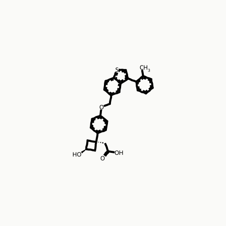 Cc1ccccc1-c1csc2ccc(COc3ccc([C@]4(CC(=O)O)C[C@H](O)C4)cc3)cc12